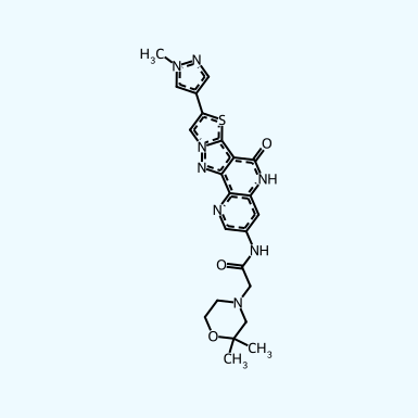 Cn1cc(-c2cn3nc4c5ncc(NC(=O)CN6CCOC(C)(C)C6)cc5[nH]c(=O)c4c3s2)cn1